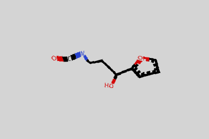 O=C=NCCC(O)c1ccco1